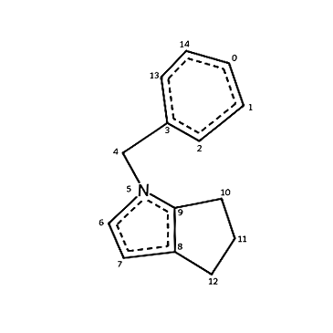 c1ccc(Cn2ccc3c2CCC3)cc1